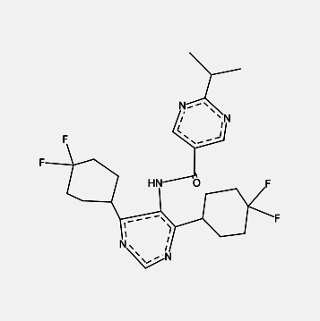 CC(C)c1ncc(C(=O)Nc2c(C3CCC(F)(F)CC3)ncnc2C2CCC(F)(F)CC2)cn1